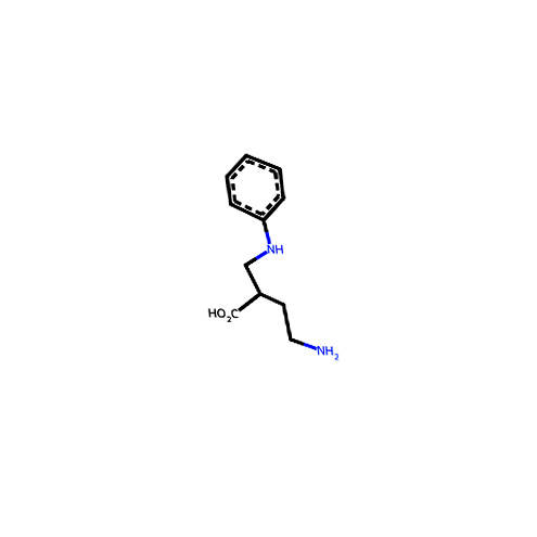 NCCC(CNc1ccccc1)C(=O)O